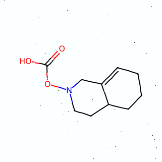 O=C(O)ON1CCC2CCCC=C2C1